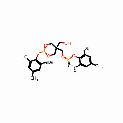 CCCCc1cc(C)cc(C)c1OP1OCC(CO)(COP(C)Oc2c(C)cc(C)cc2C(C)CC)CO1